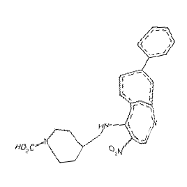 O=C(O)N1CCC(CNc2c([N+](=O)[O-])cnc3cc(-c4ccccc4)ccc23)CC1